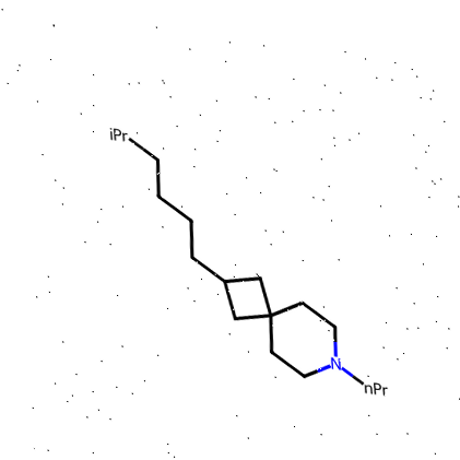 CCCN1CCC2(CC1)CC(CCCCC(C)C)C2